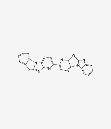 c1ccc2c(c1)nc1oc3nc(-c4ncc5c(n4)nc4sc6ccccc6n45)cnc3n12